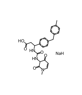 Cc1ccc(Cc2ccc(C(CC(=O)O)NC(=O)NC3C(=O)C=CN(C)C3=O)cc2)cc1.[NaH]